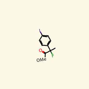 COC(=O)C(C)(F)c1ccc(I)cc1